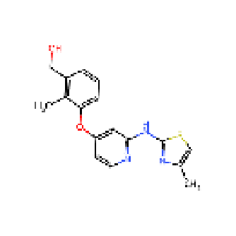 Cc1csc(Nc2cc(Oc3cccc(CO)c3C)ccn2)n1